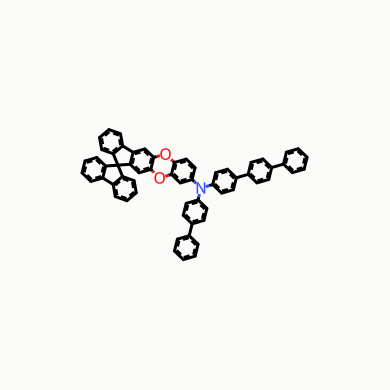 c1ccc(-c2ccc(-c3ccc(N(c4ccc(-c5ccccc5)cc4)c4ccc5c(c4)Oc4cc6c(cc4O5)-c4ccccc4C64c5ccccc5-c5ccccc54)cc3)cc2)cc1